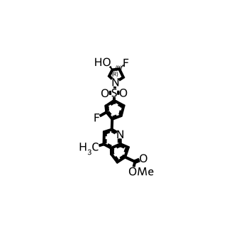 COC(=O)c1ccc2c(C)cc(-c3ccc(S(=O)(=O)N4C[C@@H](O)[C@H](F)C4)cc3F)nc2c1